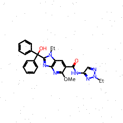 CCn1ncc(NC(=O)c2cc3c(nc2OC)nc(C(O)(c2ccccc2)c2ccccc2)n3CC)n1